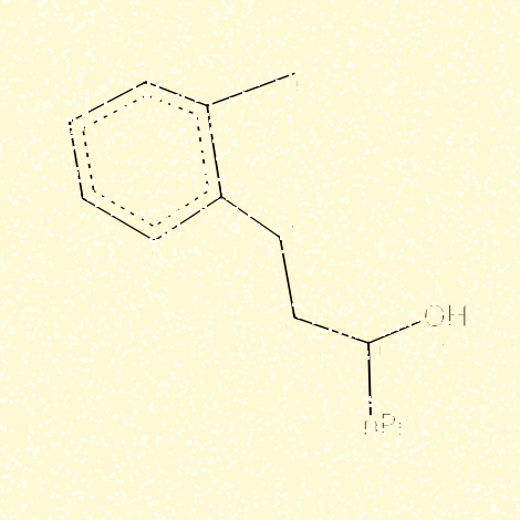 CCCC(O)CCc1ccccc1C